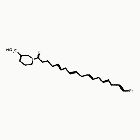 CC/C=C/C/C=C/C/C=C/C/C=C/C/C=C/CCCC(=O)N1CCCC(C(=O)O)C1